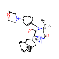 CCC(CC)[C@@H]1C(=O)N[C@H](C2Cc3ccccc3C2)C(=O)N1Cc1ccc(N2CCOCC2)cc1